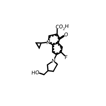 O=C(O)c1cn(C2CC2)c2cc(N3CCC(CO)C3)c(F)cc2c1=O